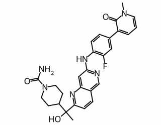 Cn1cccc(-c2ccc(Nc3cc4nc(C(C)(O)C5CCN(C(N)=O)CC5)ccc4cn3)c(F)c2)c1=O